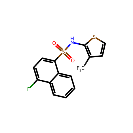 O=S(=O)(Nc1sccc1C(F)(F)F)c1ccc(F)c2ccccc12